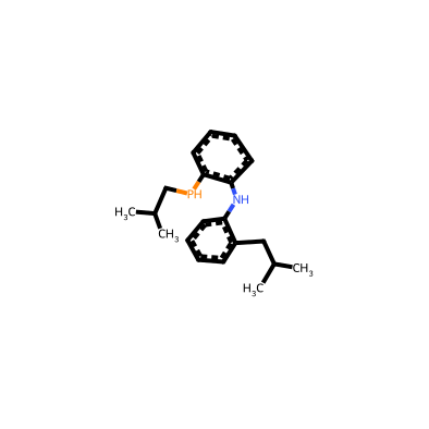 CC(C)CPc1ccccc1Nc1ccccc1CC(C)C